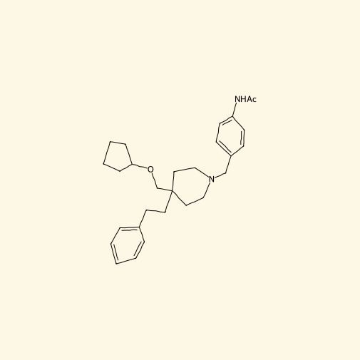 CC(=O)Nc1ccc(CN2CCC(CCc3ccccc3)(COC3CCCC3)CC2)cc1